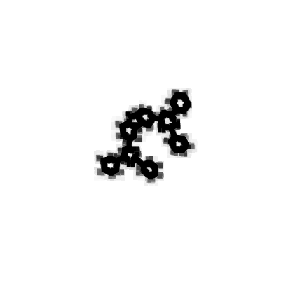 c1ccc(-c2cc(-c3ccc4sc5ccc(-c6cc(-c7ccccc7)nc(-c7ccccc7)n6)cc5c4c3)nc(-c3ccccc3)n2)cc1